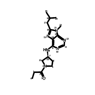 CCC(=O)N1CC[C@H](Nc2ncnc3c2nc(CC(C)C)n3C)C1